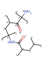 CC(C)CC(C)C(=O)NC(C)(C)CC(C)C(=O)C(C)(C)N